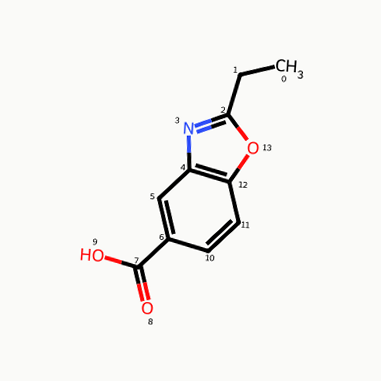 CCc1nc2cc(C(=O)O)ccc2o1